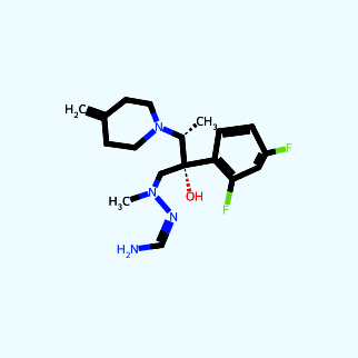 C=C1CCN([C@H](C)[C@](O)(CN(C)/N=C\N)c2ccc(F)cc2F)CC1